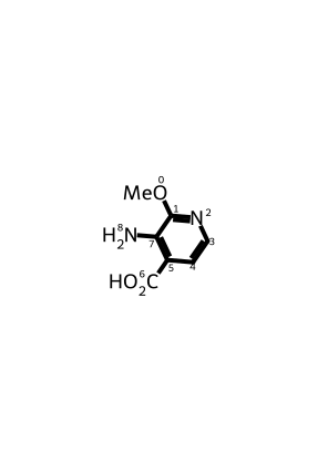 COc1nccc(C(=O)O)c1N